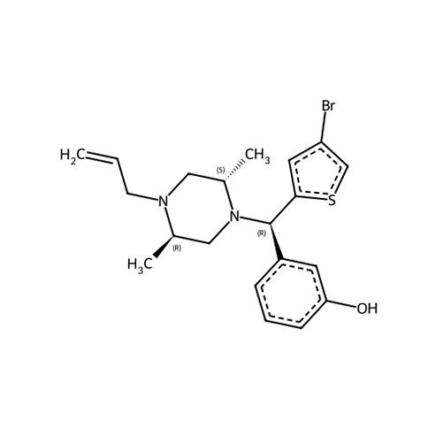 C=CCN1C[C@H](C)N([C@H](c2cccc(O)c2)c2cc(Br)cs2)C[C@H]1C